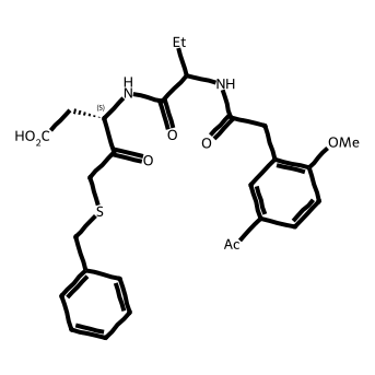 CCC(NC(=O)Cc1cc(C(C)=O)ccc1OC)C(=O)N[C@@H](CC(=O)O)C(=O)CSCc1ccccc1